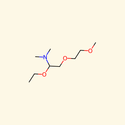 CCOC(COCCOC)N(C)C